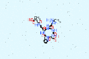 C=C(N)NCCC[C@@H]1NC(=O)[C@H](CCCCNC(=O)CC[C@H](C)C(=O)O)NC(=O)[C@@H](Cc2ccccc2)NC(=O)C(CC(=O)O)NC(=O)CNC1=O